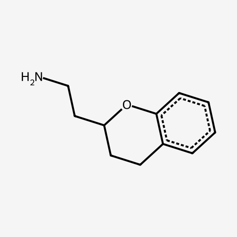 NCCC1CCc2ccccc2O1